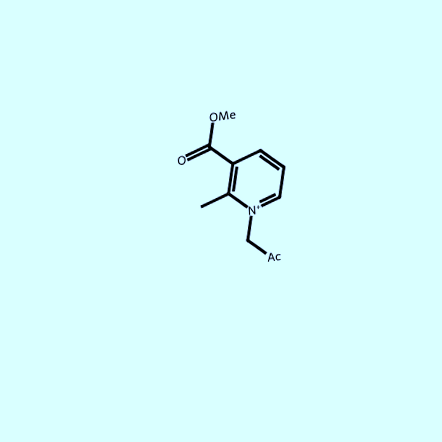 COC(=O)c1ccc[n+](CC(C)=O)c1C